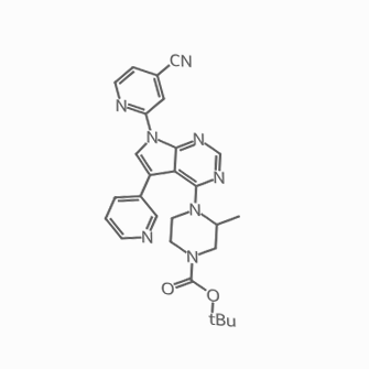 CC1CN(C(=O)OC(C)(C)C)CCN1c1ncnc2c1c(-c1cccnc1)cn2-c1cc(C#N)ccn1